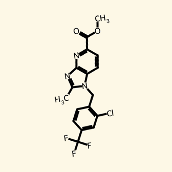 COC(=O)c1ccc2c(n1)nc(C)n2Cc1ccc(C(F)(F)F)cc1Cl